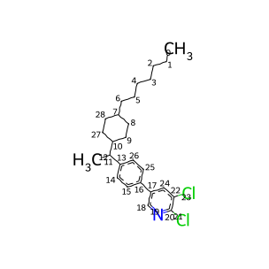 CCCCCCCC1CCC(C(C)c2ccc(-c3cnc(Cl)c(Cl)c3)cc2)CC1